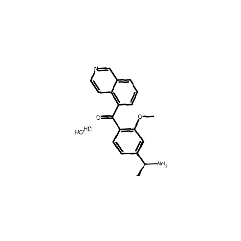 COc1cc([C@H](C)N)ccc1C(=O)c1cccc2cnccc12.Cl.Cl